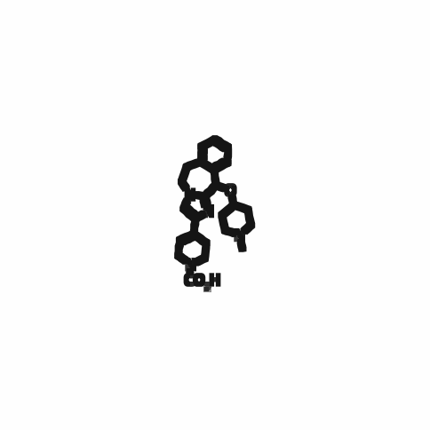 CN1CCC(OC2c3ccccc3CCn3cc(C4=CCN(C(=O)O)CC4)nc32)CC1